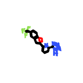 FC(F)(F)c1ccc2c(c1)CC(c1cccc(-c3nnn[nH]3)n1)O2